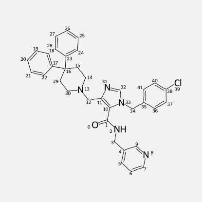 O=C(NCc1cccnc1)c1c(CN2CCC(c3ccccc3)(c3ccccc3)CC2)ncn1Cc1ccc(Cl)cc1